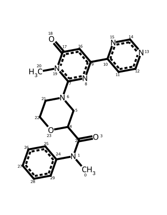 CN(C(=O)C1CN(c2nc(-c3ccncn3)cc(=O)n2C)CCO1)c1ccccc1